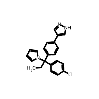 CCC(c1ccc(Cl)cc1)(c1ccc(-c2cn[nH]c2)cc1)n1cccc1